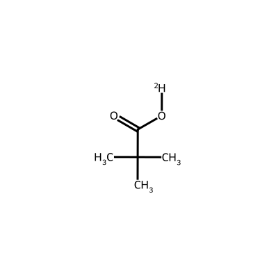 [2H]OC(=O)C(C)(C)C